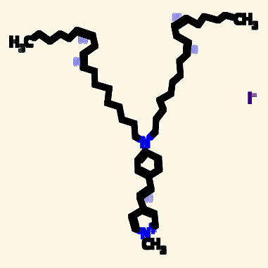 CCCCC/C=C\C/C=C\CCCCCCCCN(CCCCCCCC/C=C\C/C=C\CCCCC)c1ccc(/C=C/c2cc[n+](C)cc2)cc1.[I-]